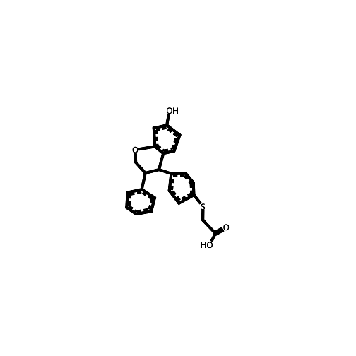 O=C(O)CSc1ccc(C2c3ccc(O)cc3OCC2c2ccccc2)cc1